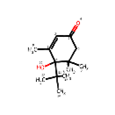 CC1=CC(=O)CC(C)(C)C1(O)C(C)(C)C